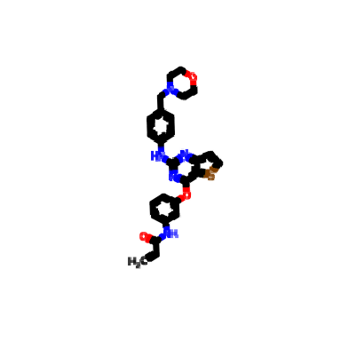 C=CC(=O)Nc1cccc(Oc2nc(Nc3ccc(CN4CCOCC4)cc3)nc3ccsc23)c1